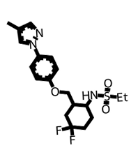 CCS(=O)(=O)NC1CCC(F)(F)CC1COc1ccc(-n2cc(C)cn2)cc1